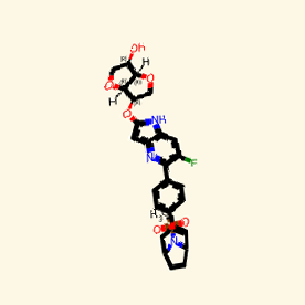 CS(=O)(=O)N1C2C=C(c3ccc(-c4nc5cc(O[C@@H]6CO[C@H]7[C@@H]6OC[C@H]7O)[nH]c5cc4F)cc3)CC1CC2